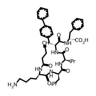 C#CCCC(=O)N[C@H](CCCCN)C(=O)N[C@H](CC(C)C)C(=O)N[C@@H](C(=O)N[C@H](Cc1ccc(-c2ccccc2)cc1)C(=O)N[C@H](Cc1ccccc1)C(=O)O)C(C)C